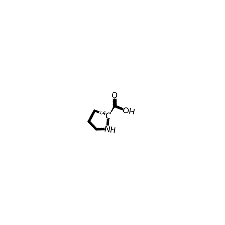 O=C(O)[14C@@H]1CCCN1